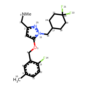 CNCc1cc(OCc2cc(C)ccc2F)n(CC2CCC(F)(F)CC2)n1